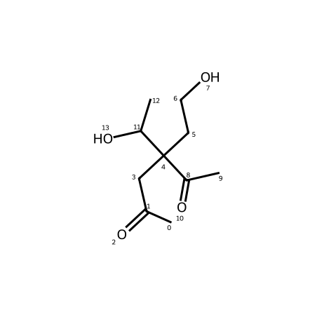 CC(=O)CC(CCO)(C(C)=O)C(C)O